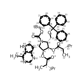 CC(C)[C@H](C)C(=O)O[C@@H]1[C@H](OC(=O)[C@@H](C)C(C)C)[C@@H](COC(c2ccccc2)(c2ccccc2)c2ccccc2)N(C(=O)OC(C)(C)C)[C@H]1c1c[nH]c2c(N)ncnc12